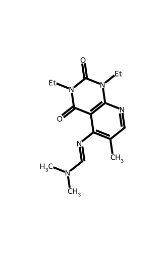 CCn1c(=O)c2c(N=CN(C)C)c(C)cnc2n(CC)c1=O